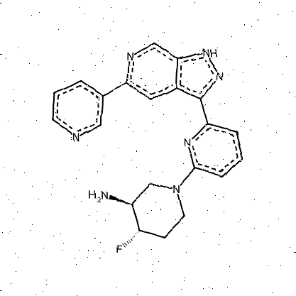 N[C@H]1CN(c2cccc(-c3n[nH]c4cnc(-c5cccnc5)cc34)n2)CC[C@@H]1F